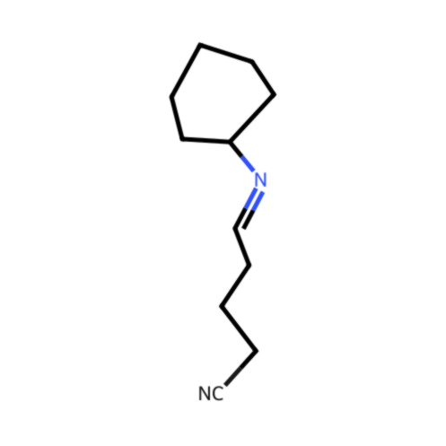 N#CCCCC=NC1CCCCC1